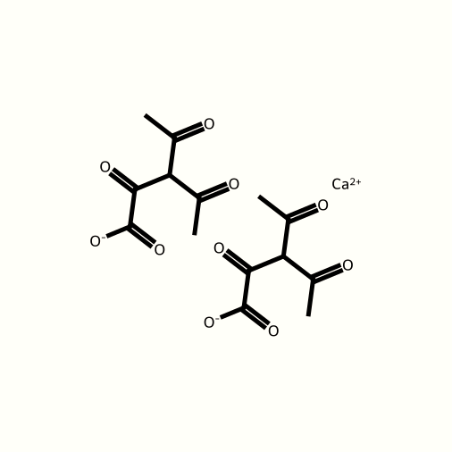 CC(=O)C(C(C)=O)C(=O)C(=O)[O-].CC(=O)C(C(C)=O)C(=O)C(=O)[O-].[Ca+2]